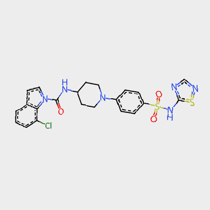 O=C(NC1CCN(c2ccc(S(=O)(=O)Nc3ncns3)cc2)CC1)n1ccc2cccc(Cl)c21